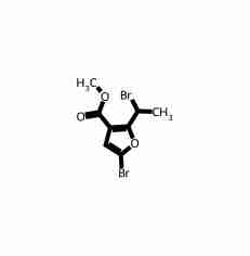 COC(=O)c1cc(Br)oc1C(C)Br